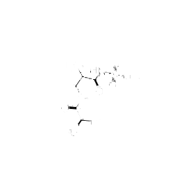 CC(C)C(=O)C(=O)OCC(C)C(=O)NS(C)(=O)=O